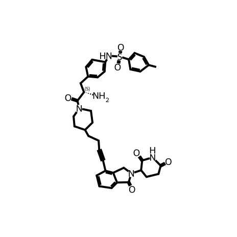 Cc1ccc(S(=O)(=O)Nc2ccc(C[C@H](N)C(=O)N3CCC(CCC#Cc4cccc5c4CN(C4CCC(=O)NC4=O)C5=O)CC3)cc2)cc1